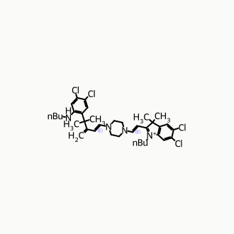 C=C(/C=C/N1CCN(/C=C/C2=[N+](CCCC)c3cc(Cl)c(Cl)cc3C2(C)C)CC1)C(C)(C)c1cc(Cl)c(Cl)cc1NCCCC